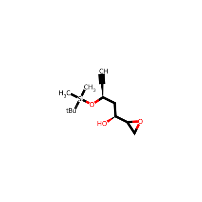 C#C[C@@H](C[C@H](O)C1CO1)O[Si](C)(C)C(C)(C)C